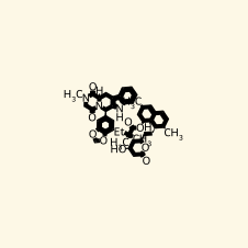 CCC(C)(C)C(=O)O[C@H]1C[C@@H](C)C=C2C=C[C@H](C)[C@H](CC[C@@H]3C[C@@H](O)CC(=O)O3)[C@H]21.CN1CC(=O)N2[C@H](c3ccc4c(c3)OCO4)c3[nH]c4ccccc4c3C[C@@H]2C1=O